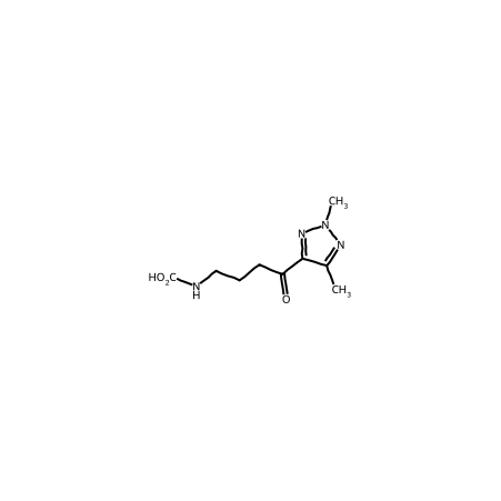 Cc1nn(C)nc1C(=O)CCCNC(=O)O